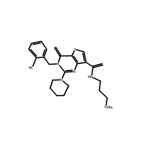 C=C(NCCCOC)c1csc2c1N=C(N1CCCCC1)N(Cc1ccccc1C#N)C2=C